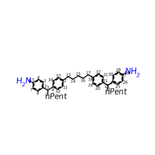 CCCCCC(c1ccc(N)cc1)c1ccc(CCCCCc2ccc(C(CCCCC)c3ccc(N)cc3)cc2)cc1